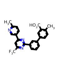 Cc1ccc(-c2cc(C(F)(F)F)nc(-c3cccc(-c4ccc(C)c(C(=O)O)c4)c3)n2)cn1